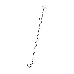 CC(C)(C)CCCOCCCCCCCCCCCCCCCC(F)(F)F